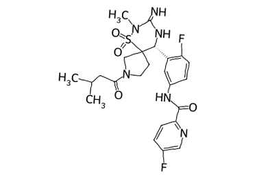 CC(C)CC(=O)N1CCC2(C1)[C@@H](c1cc(NC(=O)c3ccc(F)cn3)ccc1F)NC(=N)N(C)S2(=O)=O